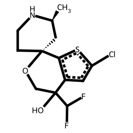 C[C@H]1C[C@@]2(CCN1)OCC(O)(C(F)F)c1cc(Cl)sc12